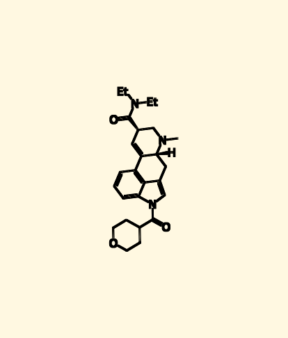 CCN(CC)C(=O)[C@@H]1C=C2c3cccc4c3c(cn4C(=O)C3CCOCC3)C[C@H]2N(C)C1